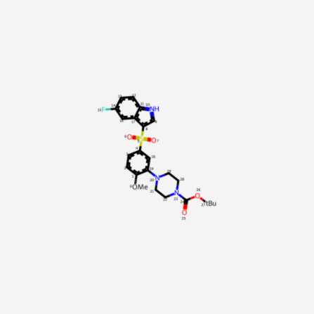 COc1ccc(S(=O)(=O)c2c[nH]c3ccc(F)cc23)cc1N1CCN(C(=O)OC(C)(C)C)CC1